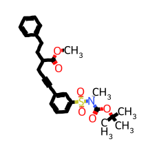 COC(=O)C(CC#Cc1cccc(S(=O)(=O)N(C)C(=O)OC(C)(C)C)c1)CCc1ccccc1